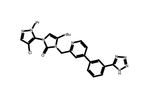 CCCCc1cn(-c2c(Cl)cnn2C(C)C)c(=O)n1Cc1cc(-c2cccc(-c3nnn[nH]3)c2)ccn1